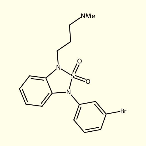 CNCCCN1c2ccccc2N(c2cccc(Br)c2)S1(=O)=O